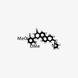 COc1cc(OC)c(F)c(C2Cc3c(ccc4c5c(ccc34)CC(Cn3cccn3)C=C5)C(C)C2)c1F